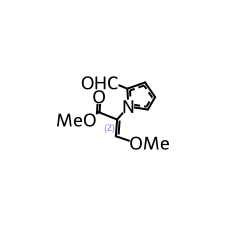 CO/C=C(/C(=O)OC)n1cccc1C=O